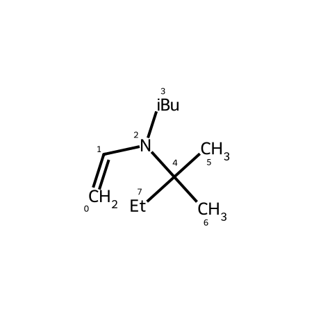 C=CN(C(C)CC)C(C)(C)CC